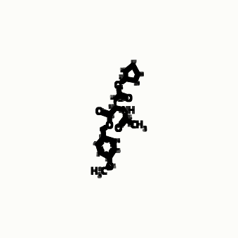 COc1ccc(COC(=O)[C@H](CC(=O)OC2CCCC2)NC(C)=O)cc1